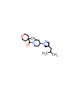 CC(C)Cc1cnn(C2CCN(C(=O)C3(C)CCOCC3)CC2)c1